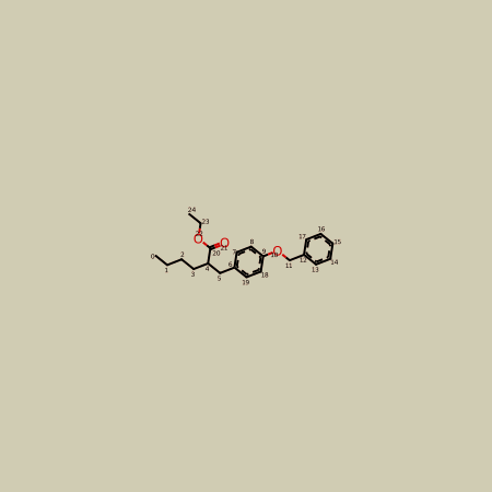 CCCCC(Cc1ccc(OCc2ccccc2)cc1)C(=O)OCC